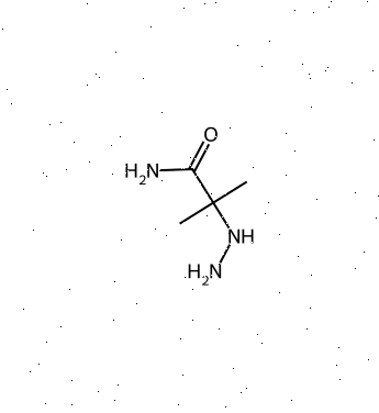 CC(C)(NN)C(N)=O